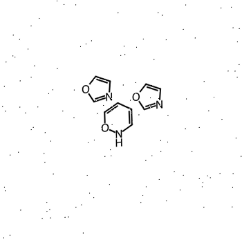 C1=CNOC=C1.c1cocn1.c1cocn1